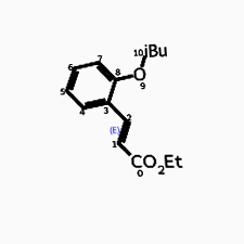 CCOC(=O)/C=C/c1ccccc1OC(C)CC